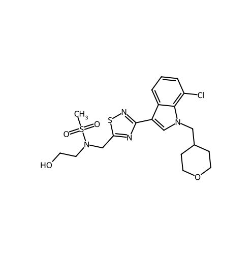 CS(=O)(=O)N(CCO)Cc1nc(-c2cn(CC3CCOCC3)c3c(Cl)cccc23)ns1